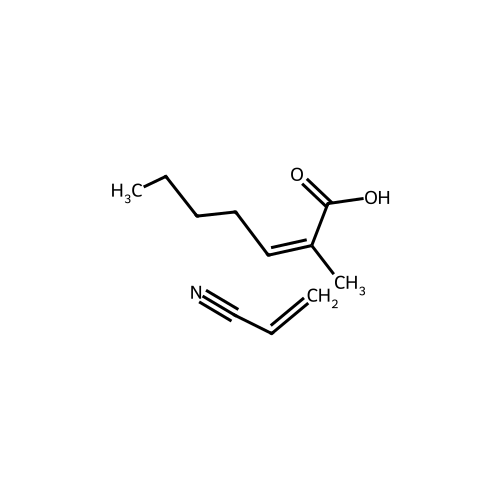 C=CC#N.CCCCC=C(C)C(=O)O